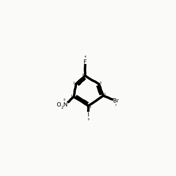 O=[N+]([O-])c1cc(F)cc(Br)c1I